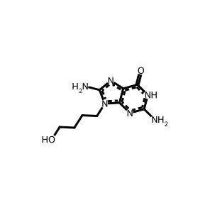 Nc1nc2c(nc(N)n2CCCCO)c(=O)[nH]1